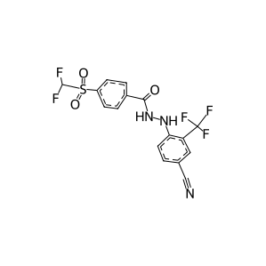 N#Cc1ccc(NNC(=O)c2ccc(S(=O)(=O)C(F)F)cc2)c(C(F)(F)F)c1